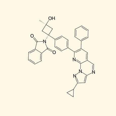 C[C@]1(O)C[C@](c2ccc(-c3nc4c(cnc5cc(C6CC6)nn54)cc3-c3ccccc3)cc2)(N2C(=O)c3ccccc3C2=O)C1